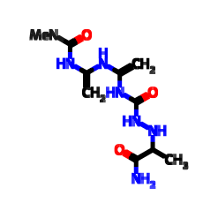 C=C(NC(=C)NC(=O)NNC(C)C(N)=O)NC(=O)NC